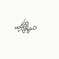 CCC(Cc1cc(O)c(C(c2cccc(NC(=O)OCc3ccccc3)c2)C2CC2)c(=O)o1)c1ccccc1